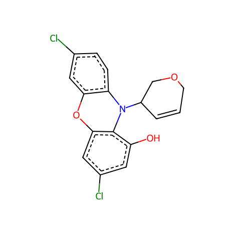 Oc1cc(Cl)cc2c1N(C1C=CCOC1)c1ccc(Cl)cc1O2